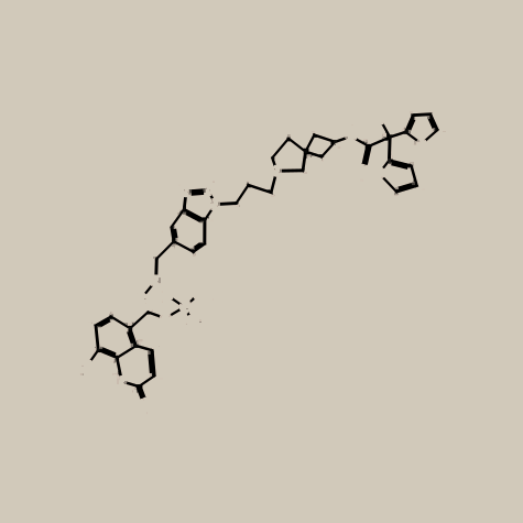 CC(C)(C)[Si](C)(C)O[C@@H](CNCc1ccc2c(c1)nnn2CCCN1CCC2(CC(OC(=O)C(O)(c3cccs3)c3cccs3)C2)C1)c1ccc(O)c2[nH]c(=O)ccc12